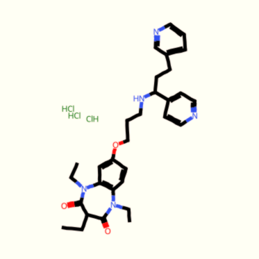 CCC1C(=O)N(CC)c2ccc(OCCCNC(CCc3cccnc3)c3ccncc3)cc2N(CC)C1=O.Cl.Cl.Cl